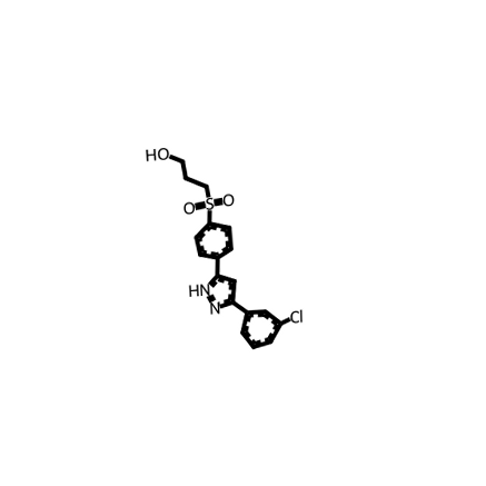 O=S(=O)(CCCO)c1ccc(-c2cc(-c3cccc(Cl)c3)n[nH]2)cc1